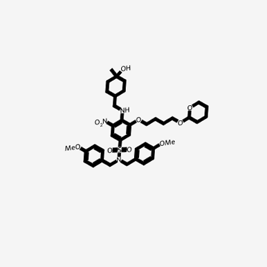 COc1ccc(CN(Cc2ccc(OC)cc2)S(=O)(=O)c2cc(OCCCCOC3CCCCO3)c(NCC3CCC(C)(O)CC3)c([N+](=O)[O-])c2)cc1